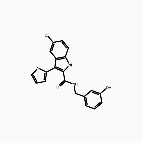 O=C(NCc1cccc(O)c1)c1[nH]c2ccc(Cl)cc2c1-c1cccs1